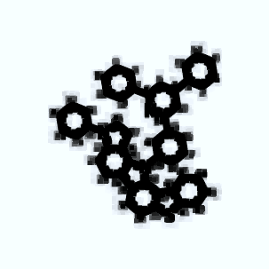 c1ccc(-c2cc(-c3ccccc3)nc(-c3cccc(-n4c5c(ccc6c5ccn6-c5ccccc5)c5ccc6sc7ccccc7c6c54)c3)c2)cc1